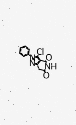 O=C1Cc2nn(-c3ccccc3)c(Cl)c2C(=O)N1